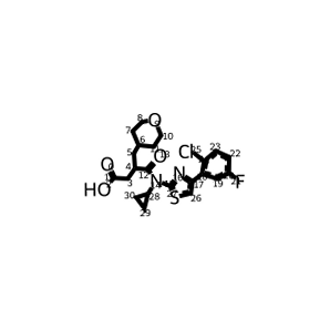 O=C(O)CC(CC1CCOCC1)C(=O)N(c1nc(-c2cc(F)ccc2Cl)cs1)C1CC1